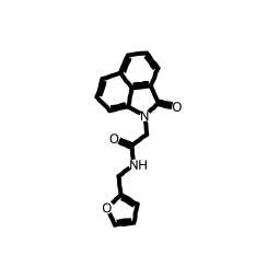 O=C(CN1C(=O)c2cccc3cccc1c23)NCc1ccco1